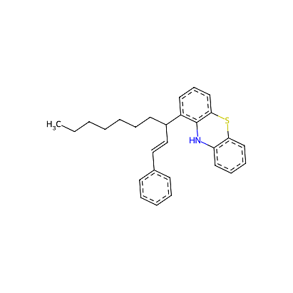 CCCCCCCC(/C=C/c1ccccc1)c1cccc2c1Nc1ccccc1S2